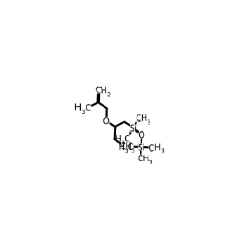 C=C(C)COC(CC)C[Si](C)(C)O[Si](C)(C)C